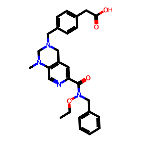 CCON(Cc1ccccc1)C(=O)c1cc2c(cn1)N(C)CN(Cc1ccc(CC(=O)O)cc1)C2